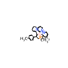 Cc1ccc(C2=C(c3ccccn3)[B-](c3ccccn3)(c3ccccn3)[P+](C)(C)C2)cc1